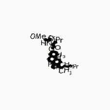 COCC(=O)NC(CC(C)C)C(=O)O[C@H]1CC[C@@]2(C)C(CC[C@H]3[C@@H]4CC[C@H]([C@H](C)CCCC(C)C)[C@@]4(C)CC[C@@H]32)C1